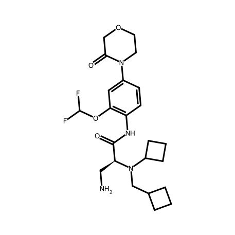 NC[C@@H](C(=O)Nc1ccc(N2CCOCC2=O)cc1OC(F)F)N(CC1CCC1)C1CCC1